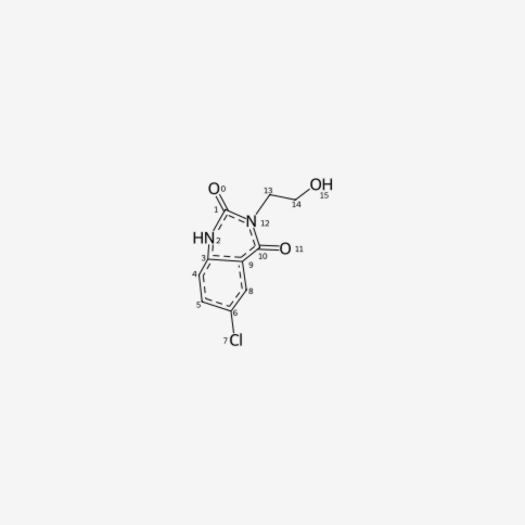 O=c1[nH]c2ccc(Cl)cc2c(=O)n1CCO